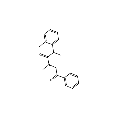 Cc1ccccc1C(C)C(=O)N(C)CC(=O)c1ccccc1